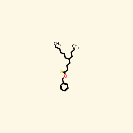 CCCCCCC(CCCC)CCCC(=S)OCc1ccccc1